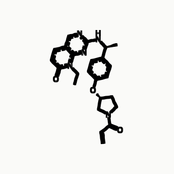 C=CC(=O)N1CC[C@@H](Oc2ccc([C@H](C)Nc3ncc4ccc(=O)n(CC)c4n3)cc2)C1